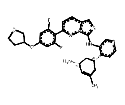 CC1=C[C@H](N)C[C@H](c2ccncc2Nc2ncc3ccc(-c4c(F)cc(OC5CCOC5)cc4F)nn23)C1